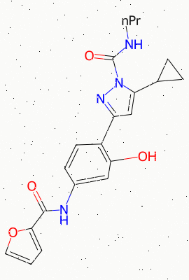 CCCNC(=O)n1nc(-c2ccc(NC(=O)c3ccco3)cc2O)cc1C1CC1